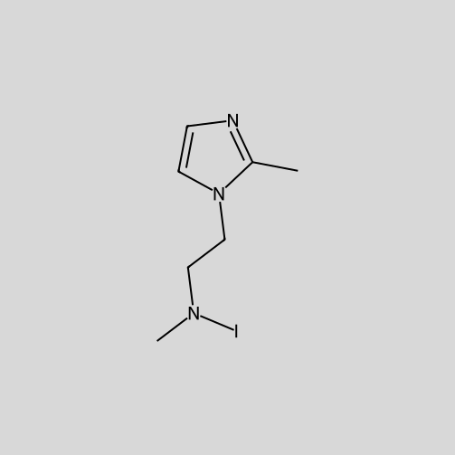 Cc1nccn1CCN(C)I